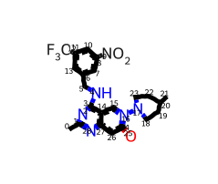 Cc1nc(NCc2cc([N+](=O)[O-])cc(C(F)(F)F)c2)c2cn(N3CCC(C)CC3)c(=O)cc2n1